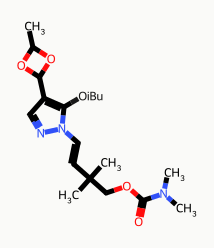 CC(C)COc1c(C2OC(C)O2)cnn1/C=C/C(C)(C)COC(=O)N(C)C